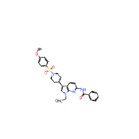 CC(C)Oc1ccc(S(=O)(=O)N2CCC(c3cn(CC=O)c4nc(NC(=O)c5ccccc5)ccc34)CC2)cc1